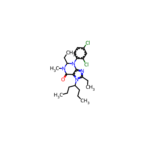 CCCC(CCC)n1c(CC)nc2c1C(=O)N(C)C(CC)N2c1ccc(Cl)cc1Cl